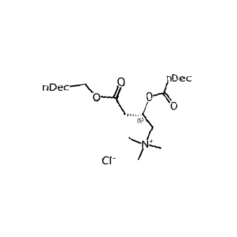 CCCCCCCCCCCOC(=O)C[C@@H](C[N+](C)(C)C)OC(=O)CCCCCCCCCC.[Cl-]